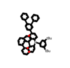 CC(C)(C)c1cc(N(c2ccc(-c3ccc(-c4ccccc4)c(-c4ccccc4)c3)cc2)c2ccccc2-c2cccc3cccc(-c4ccccc4)c23)cc(C(C)(C)C)c1